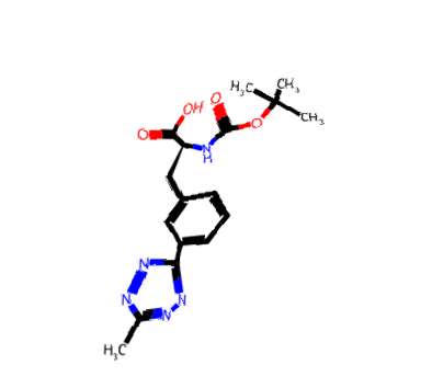 Cc1nnc(-c2cccc(C[C@H](NC(=O)OC(C)(C)C)C(=O)O)c2)nn1